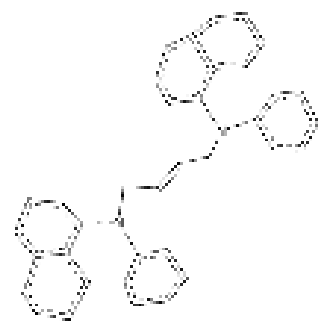 C(=C\CN(c1ccccc1)c1cccc2ccccc12)/CN(c1ccccc1)c1cccc2ccccc12